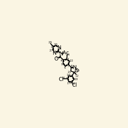 CC(=O)N(C(=O)c1ccc(C2=NOC(C)(c3cc(Cl)cc(Cl)c3)C2)cc1C)c1ncc(C)cn1